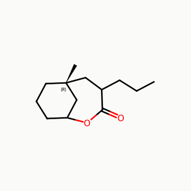 CCCC1C[C@@]2(C)CCCC(C2)OC1=O